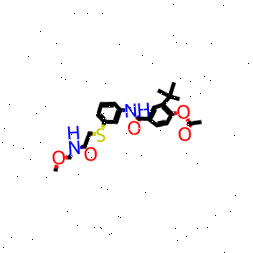 COCNC(=O)CSc1cccc(NC(=O)c2ccc(OC(C)=O)c(C(C)(C)C)c2)c1